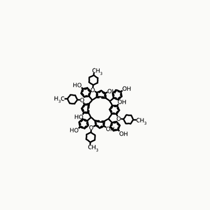 CC1CCC(Oc2cc(O)c3cc2C(c2ccc(O)cc2)c2cc(c(OC4CCC(C)CC4)cc2O)C(c2ccc(O)cc2)c2cc(c(OC4CCC(C)CC4)cc2O)C(c2ccc(O)cc2)c2cc(c(O)cc2OC2CCC(C)CC2)C3c2ccc(O)cc2)CC1